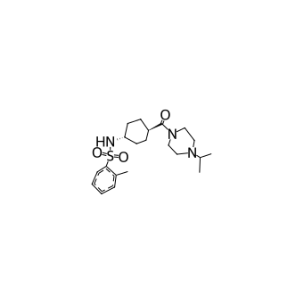 Cc1ccccc1S(=O)(=O)N[C@H]1CC[C@H](C(=O)N2CCN(C(C)C)CC2)CC1